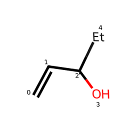 C=C[C](O)CC